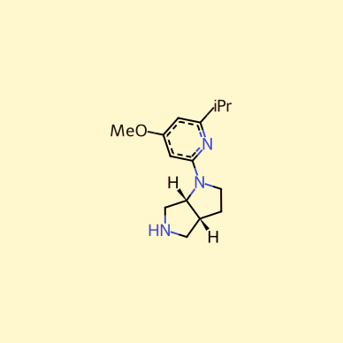 COc1cc(C(C)C)nc(N2CC[C@@H]3CNC[C@@H]32)c1